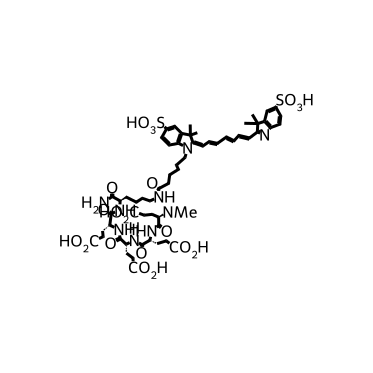 CN[C@H](CCC(=O)O)C(=O)N[C@H](CCC(=O)O)C(=O)N[C@H](CCC(=O)O)C(=O)N[C@H](CCC(=O)O)C(=O)N[C@H](CCCCNC(=O)CCCCCN1/C(=C/C=C/C=C/C=C/C2=Nc3ccc(S(=O)(=O)O)cc3C2(C)C)C(C)(C)c2cc(S(=O)(=O)O)ccc21)C(N)=O